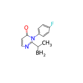 BC(C)c1nccc(=O)n1-c1ccc(F)cc1